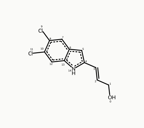 OCC=Cc1cc2cc(Cl)c(Cl)cc2[nH]1